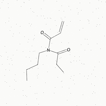 C=CC(=O)N(CCCC)C(=O)CC